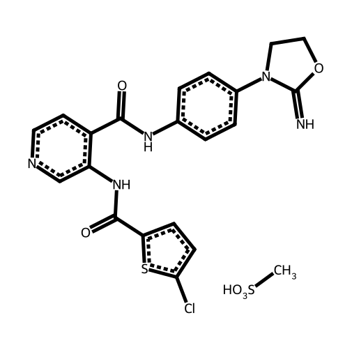 CS(=O)(=O)O.N=C1OCCN1c1ccc(NC(=O)c2ccncc2NC(=O)c2ccc(Cl)s2)cc1